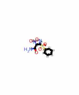 NC(=O)c1c(S(=O)(=O)c2ccccc2)no[n+]1[O-]